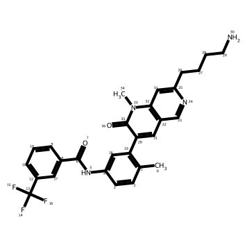 Cc1ccc(NC(=O)c2cccc(C(F)(F)F)c2)cc1-c1cc2cnc(CCCCN)cc2n(C)c1=O